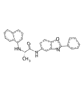 C[C@H](Nc1cccc2ccccc12)C(=O)Nc1ccc2oc(-c3ccccc3)nc2c1